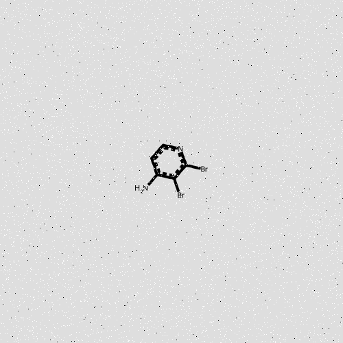 Nc1ccnc(Br)c1Br